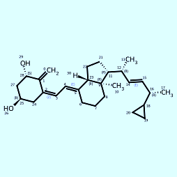 C=C1/C(=C\C=C2/CCC[C@]3(C)[C@@H]([C@H](C)/C=C/[C@H](C)C4CC4)CC[C@@H]23)C[C@@H](O)C[C@@H]1O